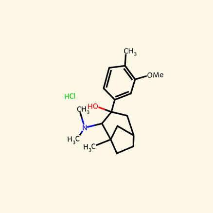 COc1cc(C2(O)CC3CCC(C)(C3)C2N(C)C)ccc1C.Cl